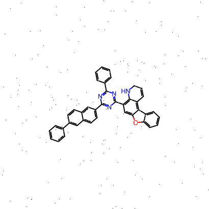 C1=Cc2c(c(-c3nc(-c4ccccc4)nc(-c4ccc5cc(-c6ccccc6)ccc5c4)n3)cc3oc4ccccc4c23)NC1